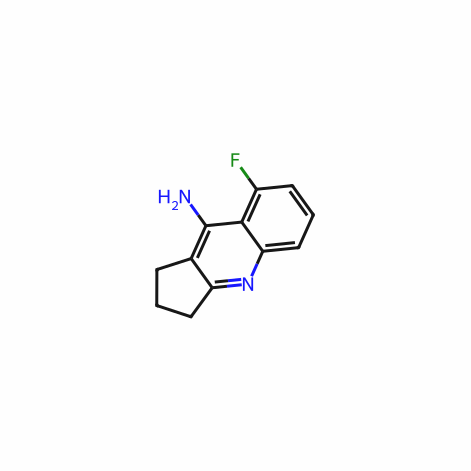 Nc1c2c(nc3cccc(F)c13)CCC2